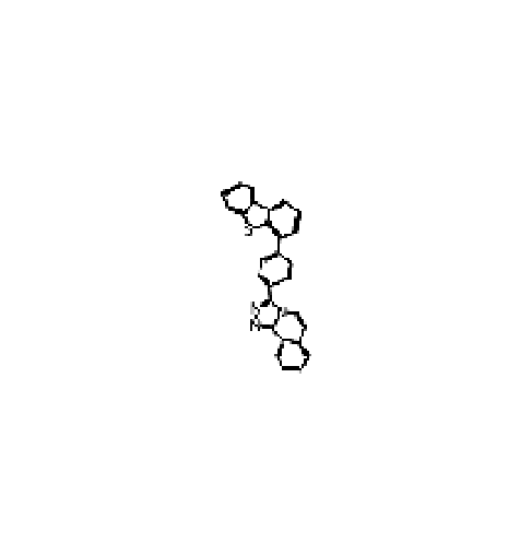 c1ccc2c(c1)ccn1c(-c3ccc(-c4cccc5c4sc4ccccc45)cc3)nnc21